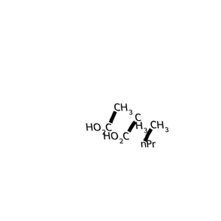 CC(=O)O.CC(=O)O.CCCC